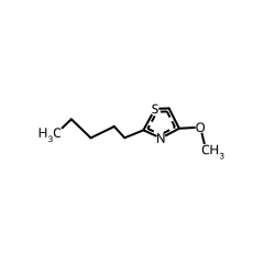 CCCCCc1nc(OC)cs1